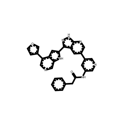 O=C(Cc1ccccc1)Nc1cncc(-c2cnc3[nH]nc(-c4cc5c(-c6ccoc6)cncc5[nH]4)c3c2)c1